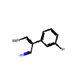 CN/C=C(\C=N)c1cccc(C(C)C)c1